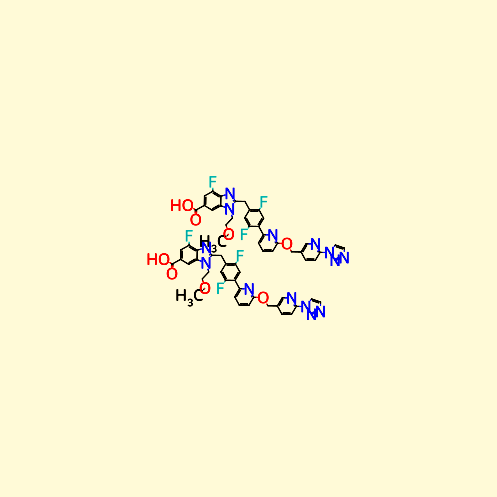 COCCn1c(Cc2cc(F)c(-c3cccc(OCc4ccc(-n5ccnn5)nc4)n3)cc2F)nc2c(F)cc(C(=O)O)cc21.COCCn1c(Cc2cc(F)c(-c3cccc(OCc4ccc(-n5ccnn5)nc4)n3)cc2F)nc2c(F)cc(C(=O)O)cc21